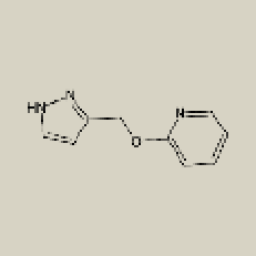 c1ccc(OCc2cc[nH]n2)nc1